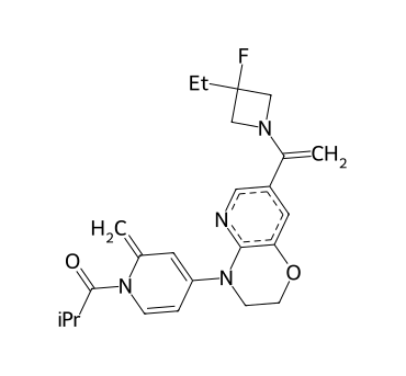 C=C(c1cnc2c(c1)OCCN2C1=CC(=C)N(C(=O)C(C)C)C=C1)N1CC(F)(CC)C1